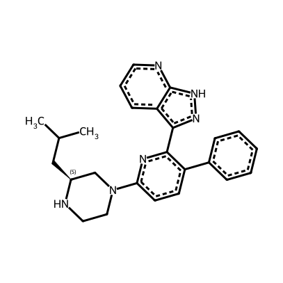 CC(C)C[C@H]1CN(c2ccc(-c3ccccc3)c(-c3n[nH]c4ncccc34)n2)CCN1